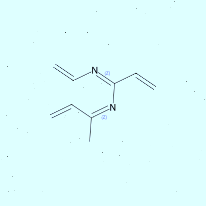 C=C/N=C(C=C)\N=C(\C)C=C